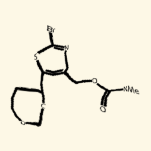 CNC(=O)OCc1nc(Br)sc1C1CCOCC1